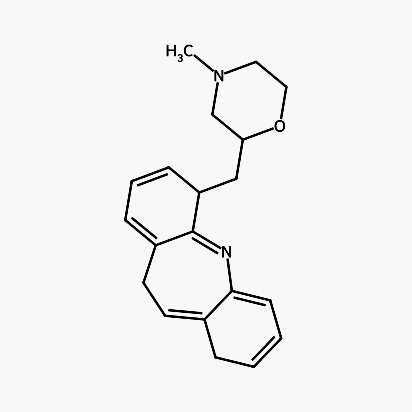 CN1CCOC(CC2C=CC=C3CC=C4CC=CC=C4N=C32)C1